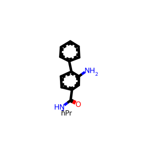 CCCNC(=O)c1ccc(-c2ccccc2)c(N)c1